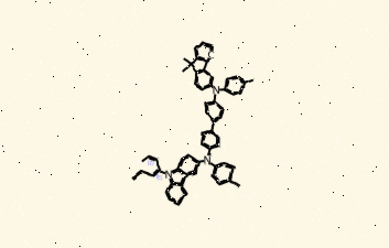 C=C/C=C(\C=C/C)n1c2ccccc2c2cc(N(c3ccc(C)cc3)c3ccc(-c4ccc(N(c5ccc(C)cc5)c5ccc6c(c5)-c5ccccc5C6(C)C)cc4)cc3)ccc21